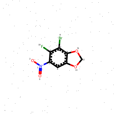 O=[N+]([O-])c1cc2c(c(Br)c1F)OCO2